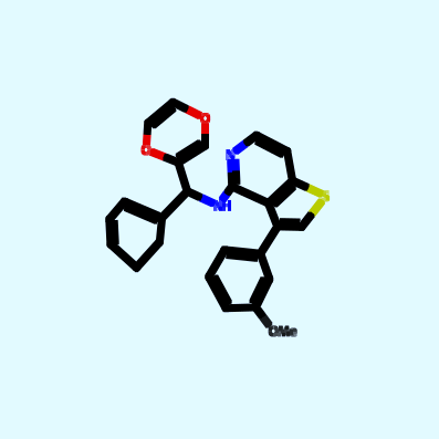 COc1cccc(-c2csc3ccnc(NC(C4=CC=CCC4)C4=COC=CO4)c23)c1